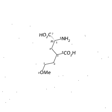 COCCC(C[C@@H](N)C(=O)O)C(=O)O